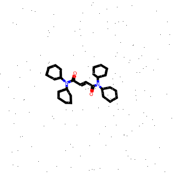 O=C(C=CC(=O)N(C1CCCCC1)C1CCCCC1)N(C1CCCCC1)C1CCCCC1